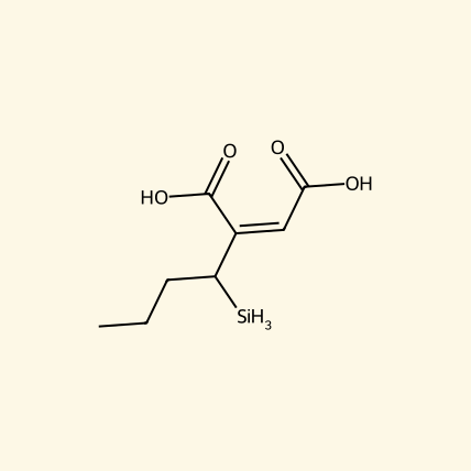 CCCC([SiH3])/C(=C/C(=O)O)C(=O)O